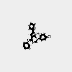 Clc1ccc(N2CN=C(Oc3ccccc3)c3cc(-c4cccnc4)[nH]c32)cc1